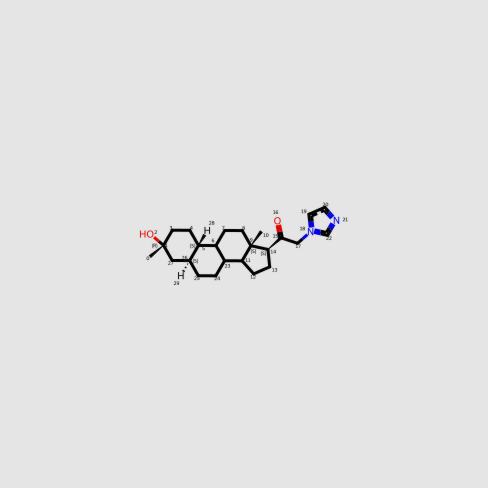 C[C@@]1(O)CC[C@@H]2C3CC[C@@]4(C)C(CC[C@@H]4C(=O)Cn4ccnc4)C3CC[C@H]2C1